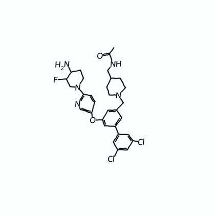 CC(=O)NCC1CCN(Cc2cc(Oc3ccc(N4CCC(N)C(F)C4)nc3)cc(-c3cc(Cl)cc(Cl)c3)c2)CC1